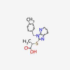 Cc1ccc(Cn2c(SC(C)C(=O)O)nc3cccnc32)cc1